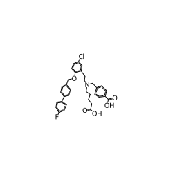 O=C(O)CCCCN(CCc1cc(Cl)ccc1OCc1ccc(-c2ccc(F)cc2)cc1)Cc1ccc(C(=O)O)cc1